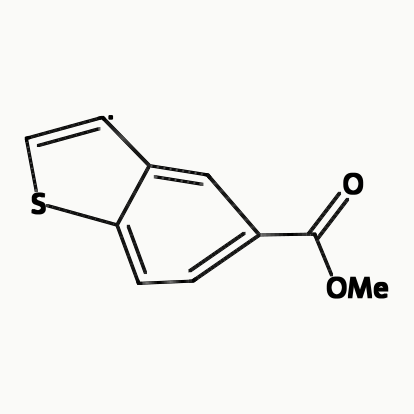 COC(=O)c1ccc2sc[c]c2c1